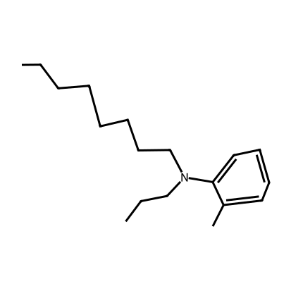 CCCCCCCCN(CCC)c1ccccc1C